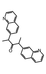 CC(C(=O)C(C)c1ccc2cccnc2c1)c1ccc2cccnc2c1